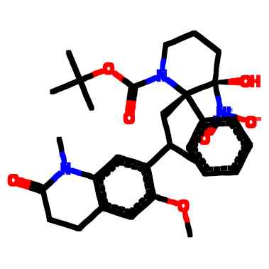 COc1cc2c(cc1C(C)C[C@@]1(c3ccccc3)N(C(=O)OC(C)(C)C)CCC[C@]1(O)[N+](=O)[O-])N(C)C(=O)CC2